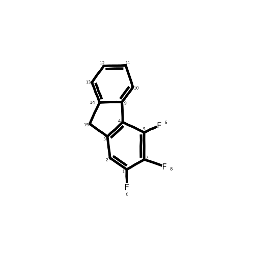 Fc1[c]c2c(c(F)c1F)-c1ccccc1C2